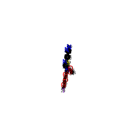 CN(C)c1ccc(-c2ccc(C3=NC4C=CC(N(CCOCCOCCOCCI)C(=O)OC(C)(C)C)=CC4S3)cc2)cn1